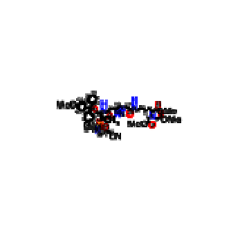 COC(=O)CN(CC(=O)OC)C(CCCCNC(=O)Cn1cc(CC(=O)N[C@H](COC(c2ccccc2)(c2ccc(OC)cc2)c2ccc(OC)cc2)[C@@H](C)OP(OCCC#N)N(C(C)C)C(C)C)nn1)C(=O)OC